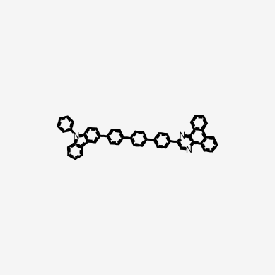 c1ccc(-n2c3ccccc3c3cc(-c4ccc(-c5ccc(-c6ccc(-c7cnc8c9ccccc9c9ccccc9c8n7)cc6)cc5)cc4)ccc32)cc1